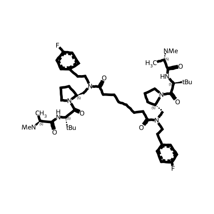 CN[C@@H](C)C(=O)N[C@H](C(=O)N1CCC[C@H]1CN(CCc1ccc(F)cc1)C(=O)CCCCCCC(=O)N(CCc1ccc(F)cc1)C[C@@H]1CCCN1C(=O)[C@@H](NC(=O)[C@H](C)NC)C(C)(C)C)C(C)(C)C